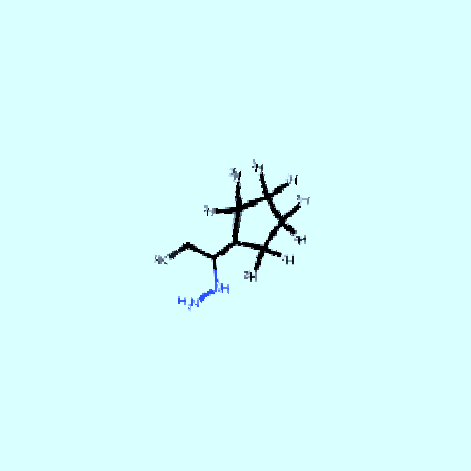 [2H]C1([2H])C(C(CC#N)NN)C([2H])([2H])C([2H])([2H])C1([2H])[2H]